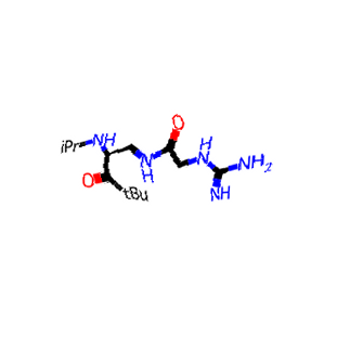 CC(C)N[C@@H](CNC(=O)CNC(=N)N)C(=O)C(C)(C)C